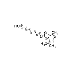 CC1CCC(C(C)C)C(OC(=O)OCCCCCCCCCO)C1